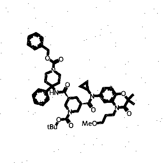 COCCCN1C(=O)C(C)(C)Oc2ccc(N(C(=O)[C@@H]3C[C@H](C(=O)NC4(c5ccccc5)CCN(C(=O)OCc5ccccc5)CC4)CN(C(=O)OC(C)(C)C)C3)C3CC3)cc21